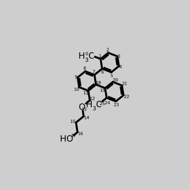 Cc1ccccc1-c1cccc(COCCCO)c1-c1ccccc1C